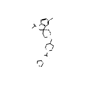 CC(=O)N1CC2(CCN(CC3CCN(C(=O)O[C@@H]4CCOC4)CC3)CC2)c2cc(C)ccc21